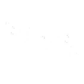 Cc1cc2c(cnn2-c2ccc(F)cc2)cc1N1CCC(S(=O)(=O)c2cnn(C)c2)CC1